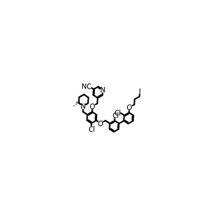 C[C@@H]1CCCCN1Cc1cc(Cl)c(OCc2cccc(-c3cccc(OCCCI)c3Cl)c2Cl)cc1OCc1cncc(C#N)c1